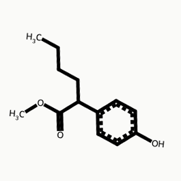 CCCCC(C(=O)OC)c1ccc(O)cc1